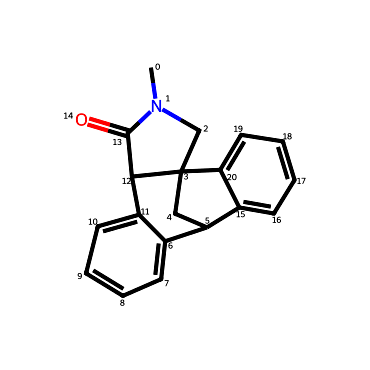 CN1CC23CC(c4ccccc4C2C1=O)c1ccccc13